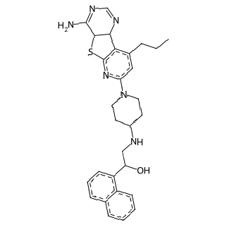 CCCc1cc(N2CCC(NCC(O)c3cccc4ccccc34)CC2)nc2c1C1N=CN=C(N)C1S2